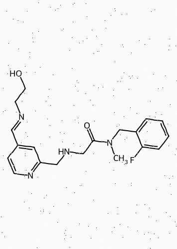 CN(Cc1ccccc1F)C(=O)CNCc1cc(C=NCCO)ccn1